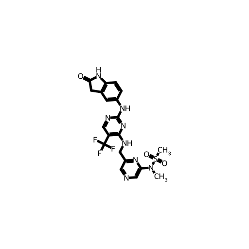 CN(c1cncc(CNc2nc(Nc3ccc4c(c3)CC(=O)N4)ncc2C(F)(F)F)n1)S(C)(=O)=O